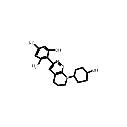 Cc1cc(C#N)cc(O)c1-c1cc2c(nn1)N(C1CCC(O)CC1)CCC2